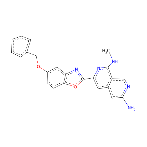 CNc1nc(-c2nc3cc(OCc4ccccc4)ccc3o2)cc2cc(N)ncc12